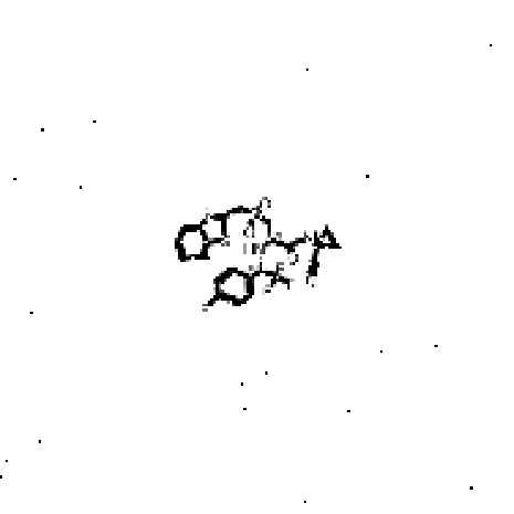 N#CC1(NC(=O)[C@H](CS(=O)(=O)Cc2nc3ccccc3s2)N[C@@H](c2ccc(F)cc2)C(F)(F)F)CC1